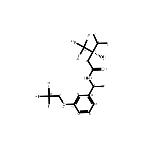 CC(C)[C@@](O)(CC(=O)N[C@@H](C)c1cccc(OCC(F)(F)F)c1)C(F)(F)F